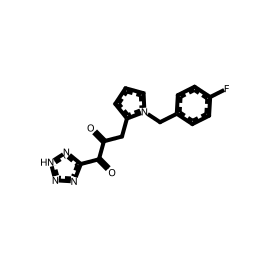 O=C(Cc1cccn1Cc1ccc(F)cc1)C(=O)c1nn[nH]n1